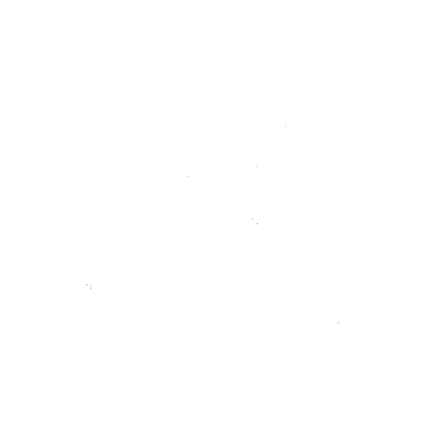 CCCCCCCCCCCCCCCCCC(N)=O.CCCNC(C)(C)CO.O=P(O)(O)O